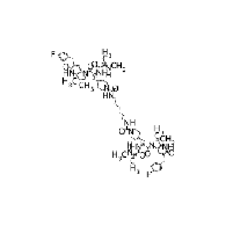 CN[C@@H](C)C(=O)N[C@@H](CC1CCN(C(=O)NCCCCCCNC(=O)N2CCC(C[C@H](NC(=O)[C@H](C)NC)C(=O)N3CC(C)(C)c4[nH]c(=O)c(Cc5ccc(F)cc5)cc43)CC2)CC1)C(=O)N1CC(C)(C)c2[nH]c(=O)c(Cc3ccc(F)cc3)cc21